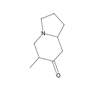 CC1CN2CCCC2CC1=O